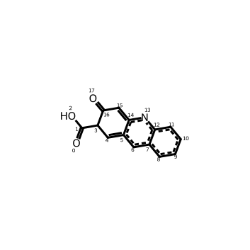 O=C(O)C1C=c2cc3ccccc3nc2=CC1=O